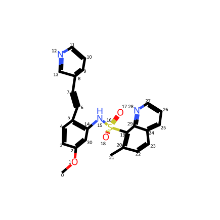 COc1ccc(C#Cc2cccnc2)c(NS(=O)(=O)c2c(C)ccc3cccnc23)c1